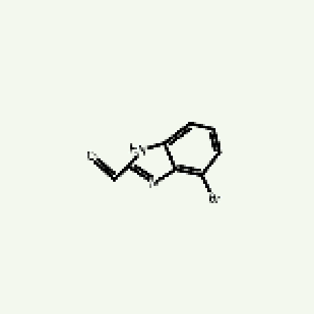 O=Cc1nc2c(Br)cccc2[nH]1